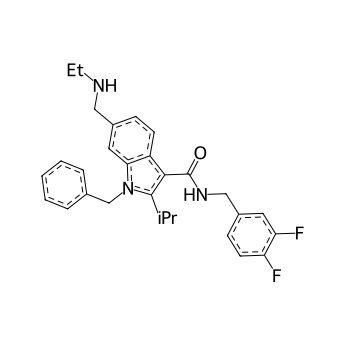 CCNCc1ccc2c(C(=O)NCc3ccc(F)c(F)c3)c(C(C)C)n(Cc3ccccc3)c2c1